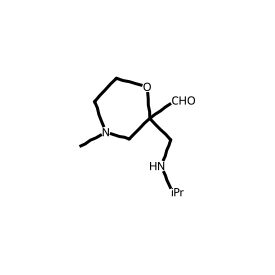 CC(C)NCC1(C=O)CN(C)CCO1